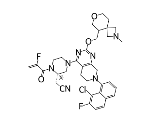 C=C(F)C(=O)N1CCN(c2nc(OCC3COCCC34CN(C)C4)nc3c2CCN(c2cccc4ccc(F)c(Cl)c24)C3)C[C@@H]1CC#N